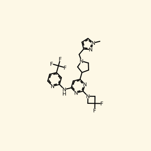 Cn1ccc(CN2CCC(c3cc(Nc4cc(C(F)(F)F)ccn4)nc(N4CC(F)(F)C4)n3)C2)n1